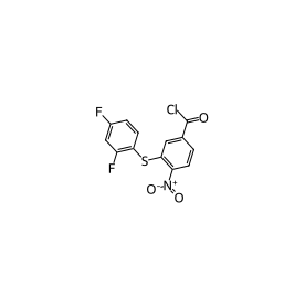 O=C(Cl)c1ccc([N+](=O)[O-])c(Sc2ccc(F)cc2F)c1